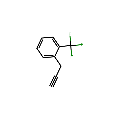 C#CCc1ccccc1C(F)(F)F